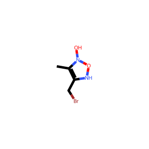 CC1=C(CBr)NON1O